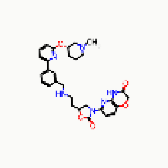 CN1CCC[C@H](Oc2cccc(-c3cccc(CNCCC4CN(c5ccc6c(n5)NC(=O)CO6)C(=O)O4)c3)n2)C1